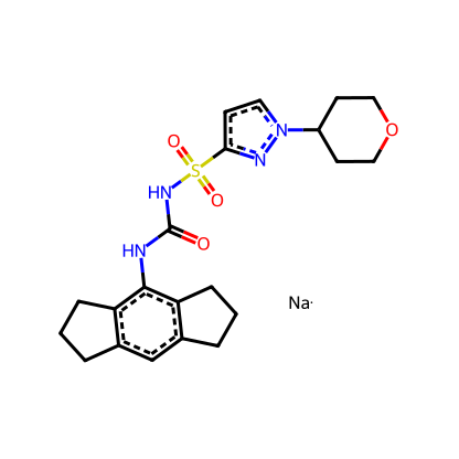 O=C(Nc1c2c(cc3c1CCC3)CCC2)NS(=O)(=O)c1ccn(C2CCOCC2)n1.[Na]